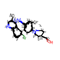 O=[N+]([O-])c1cnc2ccc(Br)cc2c1Nc1ccc(N2CCC(CO)CC2)c(C(F)(F)F)c1